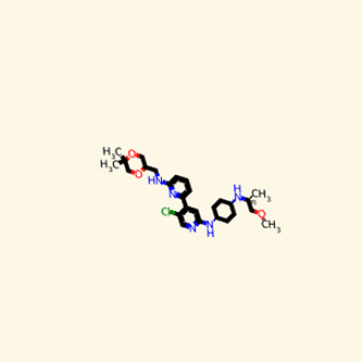 COC[C@@H](C)N[C@H]1CC[C@H](Nc2cc(-c3cccc(NCC4COC(C)(C)CO4)n3)c(Cl)cn2)CC1